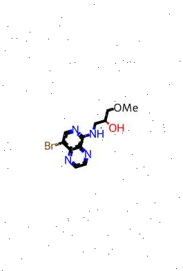 COC[C@@H](O)CNc1ncc(Br)c2nccnc12